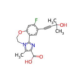 Cc1c(C(=O)O)nc2n1CCOc1cc(F)c(C#CC(C)(C)O)cc1-2